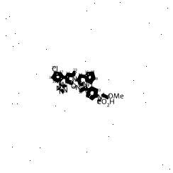 COCCN(C(=O)O)c1ccc(-c2cnc(C(Cc3ccccc3)n3c(C)cc(-c4cc(Cl)ccc4-n4cnnn4)cc3=O)[nH]2)cc1